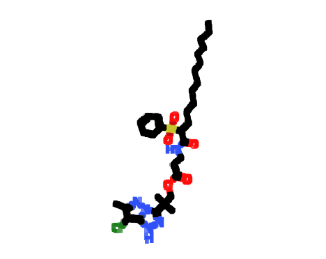 CCCCCCCCCCCCC(C(=O)NCCC(=O)OCC(C)(C)c1n[nH]c2c(Cl)c(C)nn12)S(=O)(=O)c1ccccc1